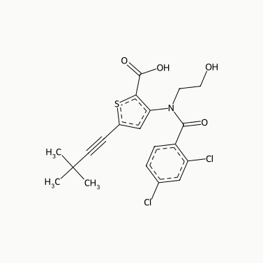 CC(C)(C)C#Cc1cc(N(CCO)C(=O)c2ccc(Cl)cc2Cl)c(C(=O)O)s1